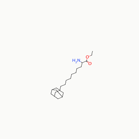 CCOC(=O)C(N)CCCCCCCCC12CC3CC(CC(C3)C1)C2